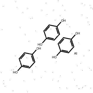 Oc1ccc(O)cc1.Oc1ccc(O)cc1.Oc1ccc(O)cc1.[Al]